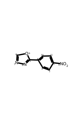 O=[N+]([O-])c1ccc(-c2nn[c]o2)cc1